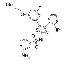 CC(C)c1ccccc1-c1nc(NS(=O)(=O)c2cccc(N)c2)sc1-c1cc(F)cc(OCCC(C)(C)C)c1